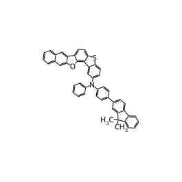 CC1(C)c2ccccc2-c2ccc(-c3ccc(N(c4ccccc4)c4ccc5sc6ccc7c8cc9ccccc9cc8oc7c6c5c4)cc3)cc21